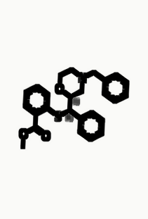 COC(=O)c1ccccc1S[C@H](c1ccccc1)[C@@H]1CN(Cc2ccccc2)CCO1